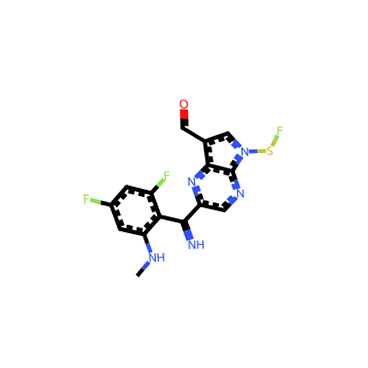 CNc1cc(F)cc(F)c1C(=N)c1cnc2c(n1)c(C=O)cn2SF